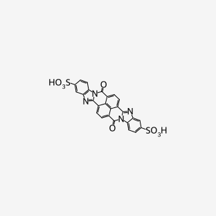 O=c1c2ccc3c4c(ccc(c24)c2nc4cc(S(=O)(=O)O)ccc4n12)c(=O)n1c2ccc(S(=O)(=O)O)cc2nc31